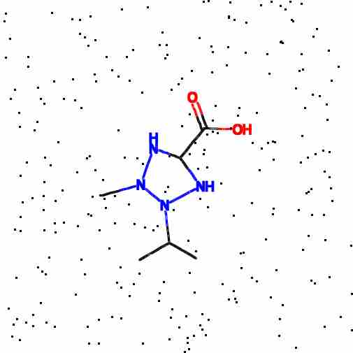 CC(C)N1NC(C(=O)O)NN1C